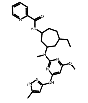 CCC1CCC(NC(=O)c2ccccn2)CC(N(C)c2nc(Nc3cc(C)[nH]n3)cc(OC)n2)C1